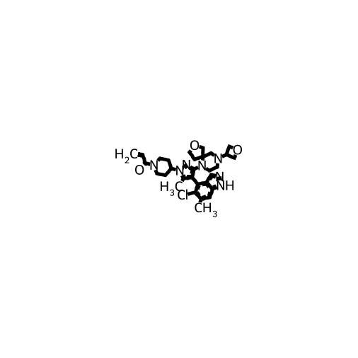 C=CC(=O)N1CCC(n2nc(N3CCN(C4COC4)CC34CCOC4)c(-c3c(Cl)c(C)cc4[nH]ncc34)c2C)CC1